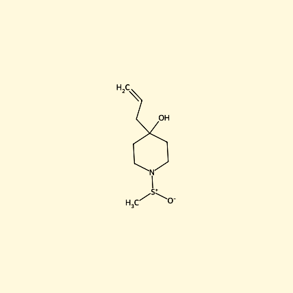 C=CCC1(O)CCN([S+](C)[O-])CC1